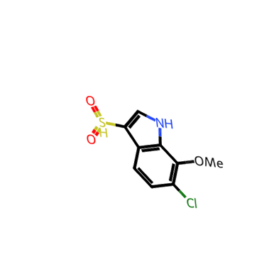 COc1c(Cl)ccc2c([SH](=O)=O)c[nH]c12